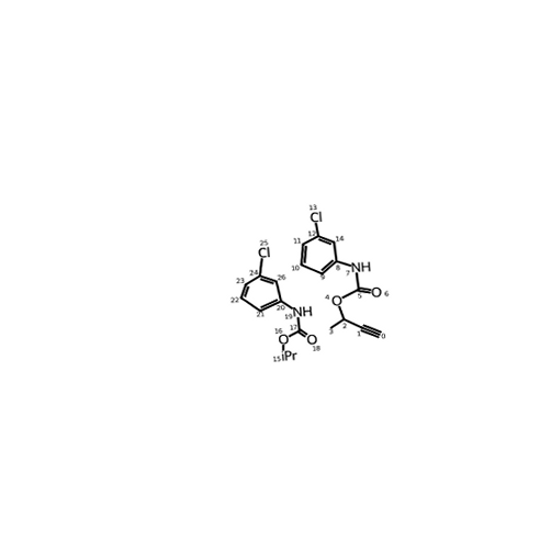 C#CC(C)OC(=O)Nc1cccc(Cl)c1.CC(C)OC(=O)Nc1cccc(Cl)c1